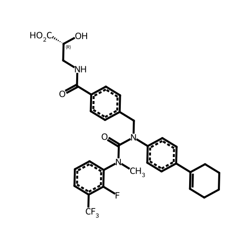 CN(C(=O)N(Cc1ccc(C(=O)NC[C@@H](O)C(=O)O)cc1)c1ccc(C2=CCCCC2)cc1)c1cccc(C(F)(F)F)c1F